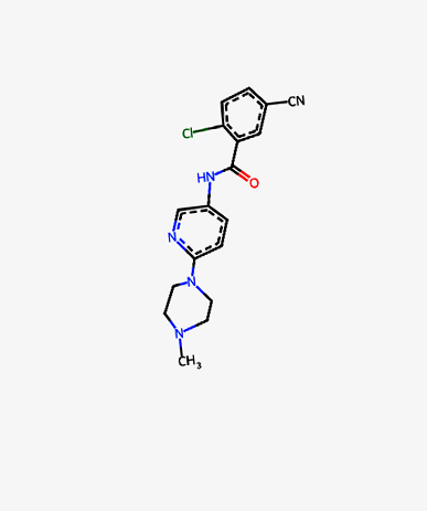 CN1CCN(c2ccc(NC(=O)c3cc(C#N)ccc3Cl)cn2)CC1